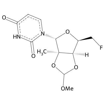 COC1O[C@@H]2[C@H](CF)O[C@@H](n3ccc(=O)[nH]c3=O)[C@]2(C)O1